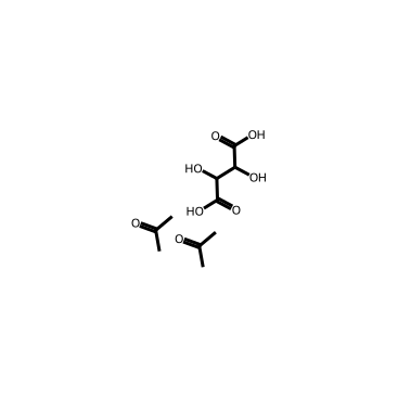 CC(C)=O.CC(C)=O.O=C(O)C(O)C(O)C(=O)O